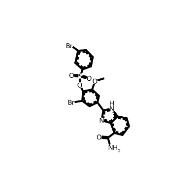 COc1cc(-c2nc3c(C(N)=O)cccc3[nH]2)cc(Br)c1OS(=O)(=O)c1cccc(Br)c1